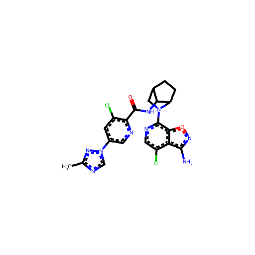 Cc1ncn(-c2cnc(C(=O)NC3C4CCC3N(c3ncc(Cl)c5c(N)noc35)C4)c(Cl)c2)n1